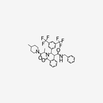 CC1CCN(C(=O)C(C)N2C(=O)c3ccccc3C(C(=O)NCc3ccccc3)C2c2cc(C(F)(F)F)cc(C(F)(F)F)c2)CC1